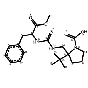 COC(=O)C(Cc1ccccc1)NC(=S)NCC1(C(C)(C)C)CCCN1C(=O)O